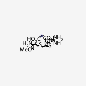 CON=C(N)CCSCc1csc(NC(=N)N)n1.O=C(O)/C=C\C(=O)O